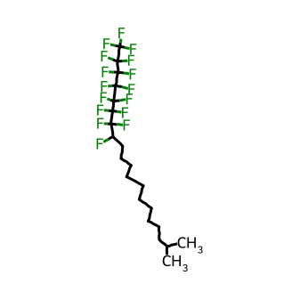 CC(C)CCCCCCCCCCC(F)C(F)(F)C(F)(F)C(F)(F)C(F)(F)C(F)(F)C(F)(F)C(F)(F)F